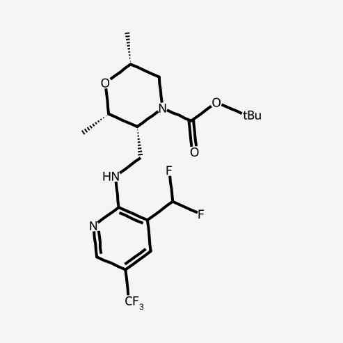 C[C@@H]1CN(C(=O)OC(C)(C)C)[C@H](CNc2ncc(C(F)(F)F)cc2C(F)F)[C@H](C)O1